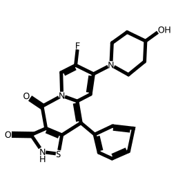 O=c1[nH]sc2c(-c3ccccc3)c3cc(N4CCC(O)CC4)c(F)cn3c(=O)c12